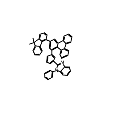 CC1(C)c2ccccc2-c2c(-c3cc(-c4cccc(-c5nc6ccccc6n5-c5ccccc5)c4)c4c5ccccc5c5ccccc5c4c3)cccc21